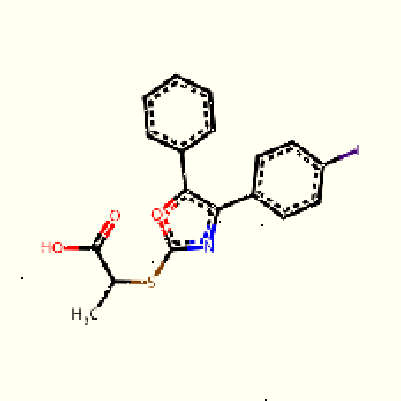 CC(Sc1nc(-c2ccc(I)cc2)c(-c2ccccc2)o1)C(=O)O